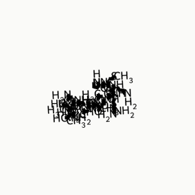 CSCC[C@H](NC(=O)[C@@H]1CCCN1)C(=O)N[C@@H](CCCCN)C(=O)N[C@@H](CCCN=C(N)N)C(=O)N[C@@H](CC(C)C)C(=O)N[C@H](C(=O)N[C@@H](CC(C)C)C(=O)NCC(=O)N[C@@H](CC(N)=O)C(=O)N[C@H](C(=O)N[C@H](C(N)=O)[C@@H](C)O)[C@@H](C)O)[C@@H](C)O